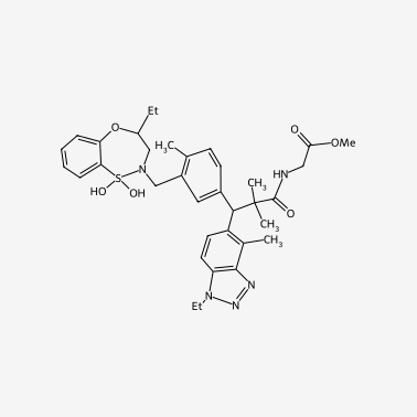 CCC1CN(Cc2cc(C(c3ccc4c(nnn4CC)c3C)C(C)(C)C(=O)NCC(=O)OC)ccc2C)S(O)(O)c2ccccc2O1